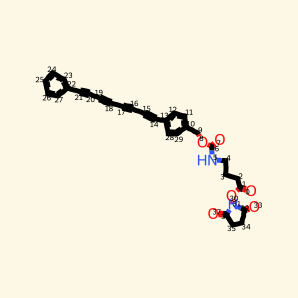 O=C(CCCNC(=O)OCc1ccc(C#CC#CC#CC#Cc2ccccc2)cc1)ON1C(=O)CCC1=O